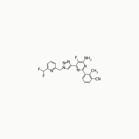 Cc1c(C#N)cccc1-c1nc(N)c(F)c(-c2cn(Cc3cccc(C(F)F)n3)nn2)n1